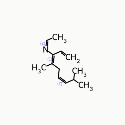 C=CC(/N=C\C)=C(/C)C/C=C\C(C)C